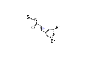 O=C(/C=C/c1cc(Br)cc(Br)c1)N=C=S